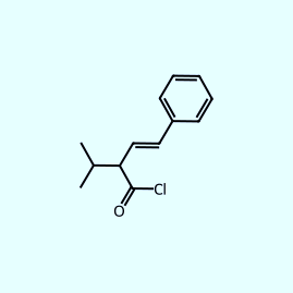 CC(C)C(C=Cc1ccccc1)C(=O)Cl